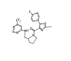 Cc1nc(C(=O)N2CCCC2CNc2cc(C(F)(F)F)ncn2)c(-c2ccc(F)cc2)s1